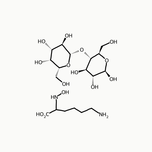 NCCCCC(NO)C(=O)O.OC[C@H]1O[C@@H](O[C@H]2[C@H](O)[C@@H](O)[C@H](O)O[C@@H]2CO)[C@H](O)[C@@H](O)[C@H]1O